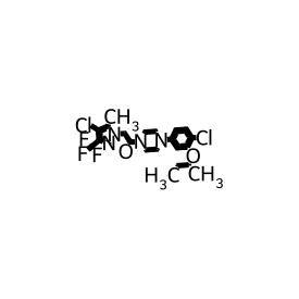 CCC(C)Oc1cc(N2CCN(C(=O)Cn3nc(C(F)(F)F)c(Cl)c3C)CC2)ccc1Cl